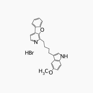 Br.COc1ccc2[nH]cc(CCCCc3nccc4c3oc3ccccc34)c2c1